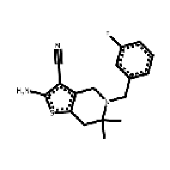 CC1(C)Cc2sc(N)c(C#N)c2CN1Cc1cccc(F)c1